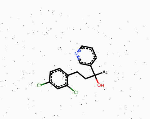 CC(=O)C(O)(CCc1ccc(Cl)cc1Cl)c1cccnc1